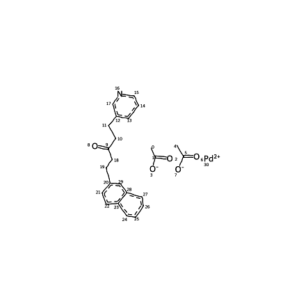 CC(=O)[O-].CC(=O)[O-].O=C(CCc1cccnc1)CCc1ccc2ccccc2c1.[Pd+2]